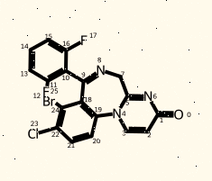 O=c1ccn2c(n1)CN=C(c1c(F)cccc1F)c1c-2ccc(Cl)c1Br